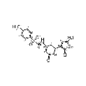 Cc1ccc(S(=O)(=O)NNC2=CC(=O)CC(c3cc(Cl)sc3Cl)C2)cc1